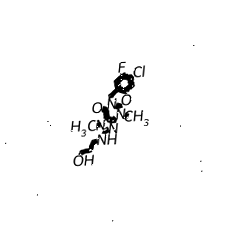 Cn1c(NCCCO)nc2c1c(=O)n(Cc1ccc(Cl)c(F)c1)c(=O)n2C